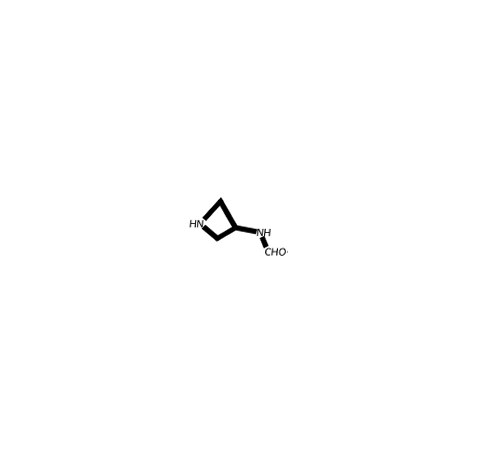 O=[C]NC1CNC1